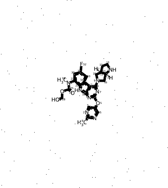 Cc1ncc(Oc2nc(N3C[C@H]4CCN[C@H]4C3)c3c(n2)[nH]c2c(N(C)C(=O)OCO)cc(F)cc23)cn1